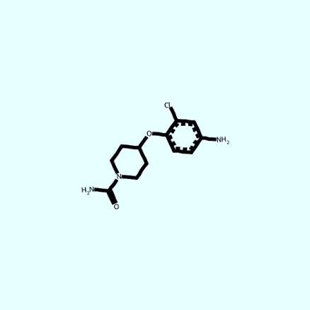 NC(=O)N1CCC(Oc2ccc(N)cc2Cl)CC1